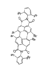 CC(C)c1cccc(C(C)C)c1N1C(=O)c2cc(Br)c3c4c(Br)cc5c6c(cc(Br)c(c7c(Br)cc(c2c37)C1=O)c64)C(=O)N(c1c(C(C)C)cccc1C(C)C)C5=O